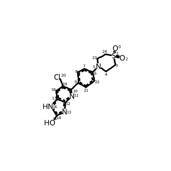 O=S1(=O)CCN(c2ccc(-c3nc4nc(O)[nH]c4cc3Cl)cc2)CC1